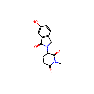 CN1C(=O)CCC(N2Cc3ccc(O)cc3C2=O)C1=O